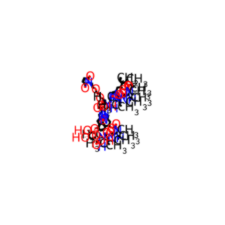 C=C/C(=C(\CC)OCC)C(Cc1cn(CCN(CCn2cc(CC(OC(=O)N(C)[C@H](C(=O)N[C@H](C(=O)NC)C(C)C)C(C)C)c3ccc(O[C@@H]4O[C@H](C(=O)O)C[C@H](O)[C@H]4O)c4cc(CCC(=O)O)oc34)nn2)C(=O)COCCOCCN2C(=O)C=CC2=O)nn1)OC(=O)N(C)[C@H](C(=O)N[C@H](C(=O)NC)C(C)C)C(C)C